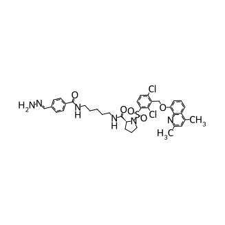 Cc1cc(C)c2cccc(OCc3c(Cl)ccc(S(=O)(=O)N4CCC[C@H]4C(=O)NCCCCCNC(=O)c4ccc(C=NN)cc4)c3Cl)c2n1